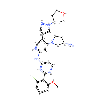 COc1cccc(F)c1-c1nccc(Nc2cc(N3CC[C@H](N)C3)c(-c3cnn(C4CCOCC4)c3)cn2)n1